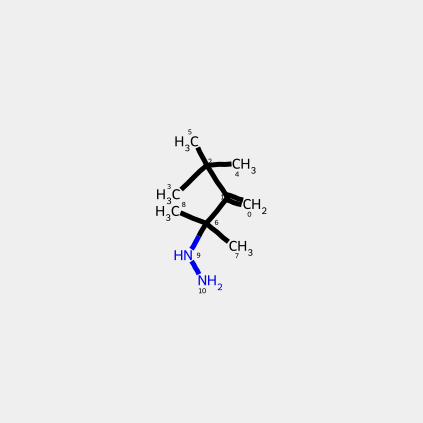 C=C(C(C)(C)C)C(C)(C)NN